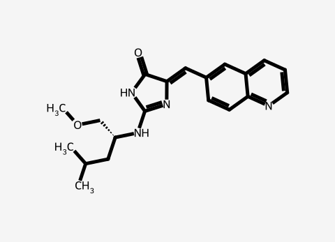 COC[C@@H](CC(C)C)NC1=N/C(=C\c2ccc3ncccc3c2)C(=O)N1